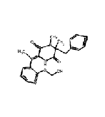 CC(=C1NC(=O)C(C)(Cc2ccccc2)N(C)C1=O)c1cccnc1OCC#N